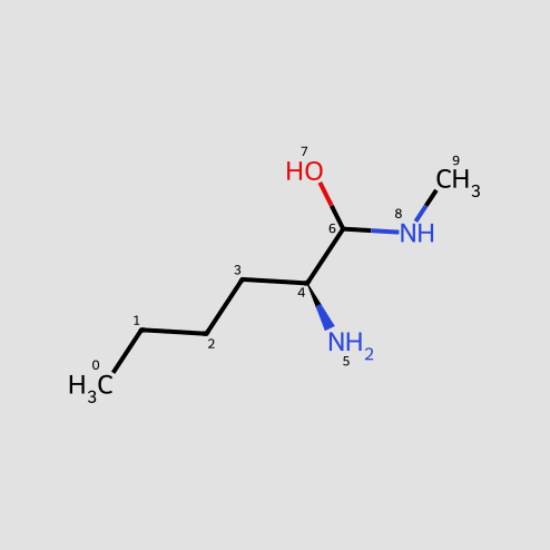 CCCC[C@H](N)C(O)NC